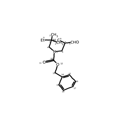 CCC(C)(C)CN(CC(C)C=O)C(=O)OCc1ccccc1